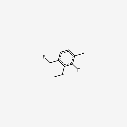 C[CH]c1c(CF)ccc(F)c1F